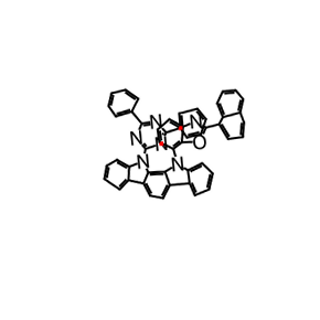 c1ccc(-c2nc(-c3ccccc3)nc(-n3c4ccccc4c4ccc5c6ccccc6n(-c6cccc7nc(-c8cccc9ccccc89)oc67)c5c43)n2)cc1